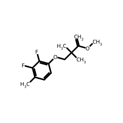 C=C(OC)C(C)(C)COc1ccc(C)c(F)c1F